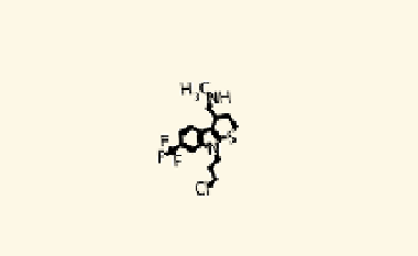 CNCC1CCSc2c1c1ccc(C(F)(F)F)cc1n2CCCCl